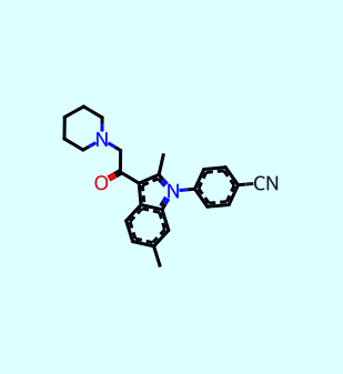 Cc1ccc2c(C(=O)CN3CCCCC3)c(C)n(-c3ccc(C#N)cc3)c2c1